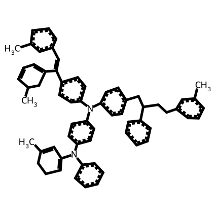 CC1=CC(N(c2ccccc2)c2ccc(N(c3ccc(CC(CCc4cccc(C)c4)c4ccccc4)cc3)c3ccc(/C(=C/c4cccc(C)c4)C4=CC=CC(C)C4)cc3)cc2)=CCC1